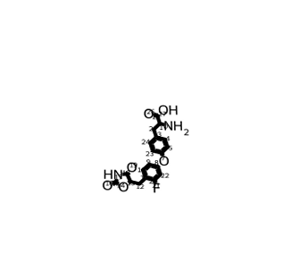 NC(Cc1ccc(Oc2ccc(CC3OC(=O)NC3=O)c(F)c2)cc1)C(=O)O